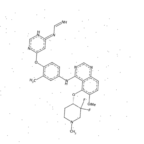 COc1ccc2ncnc(Nc3ccc(Oc4c/c(=N/C=N)[nH]cn4)c(C)c3)c2c1O[C@H]1CCN(C)CC1(F)F